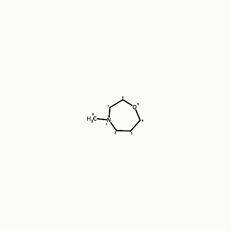 CN1CCCOCC1